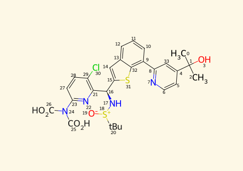 CC(C)(O)c1ccnc(-c2cccc3cc([C@@H](N[S+]([O-])C(C)(C)C)c4nc(N(C(=O)O)C(=O)O)ccc4Cl)sc23)c1